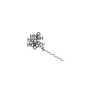 CCCCCCCCCCCCSCC(COP(=O)(O)n1c(=O)[nH]c2[nH]c(=O)[nH]c2c1=O)OCC